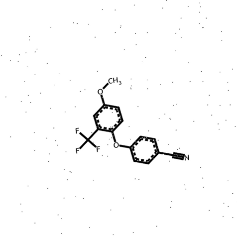 COc1ccc(Oc2ccc(C#N)cc2)c(C(F)(F)F)c1